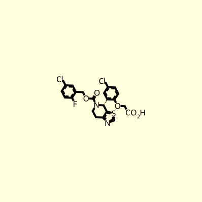 O=C(O)COc1ccc(Cl)cc1[C@@H]1c2scnc2CCN1C(=O)OCc1cc(Cl)ccc1F